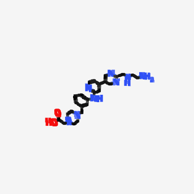 NCCNCc1ncc(-c2ccnc(Nc3cccc(CN4CCN(CC(=O)O)CC4)c3)c2)cn1